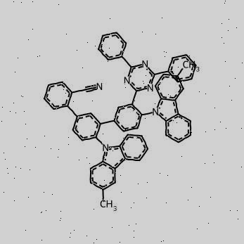 Cc1ccc2c(c1)c1ccccc1n2-c1ccc(-c2ccccc2C#N)cc1-c1ccc(-n2c3ccccc3c3cc(C)ccc32)c(-c2nc(-c3ccccc3)nc(-c3ccccc3)n2)c1